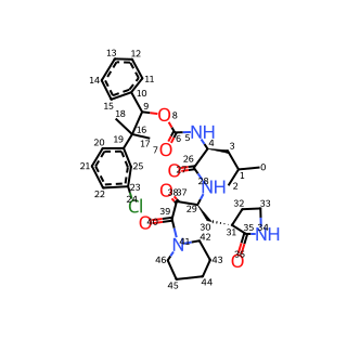 CC(C)C[C@H](NC(=O)OC(c1ccccc1)C(C)(C)c1cccc(Cl)c1)C(=O)N[C@@H](C[C@@H]1CCNC1=O)C(=O)C(=O)N1CCCCC1